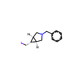 IC[C@@H]1[C@H]2CN(Cc3ccccc3)C[C@@H]12